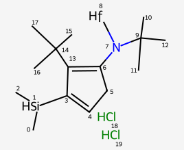 C[SiH](C)C1=CCC([N]([Hf])C(C)(C)C)=C1C(C)(C)C.Cl.Cl